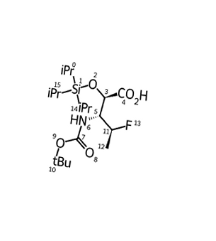 CC(C)[Si](O[C@@H](C(=O)O)[C@@H](NC(=O)OC(C)(C)C)[C@H](C)F)(C(C)C)C(C)C